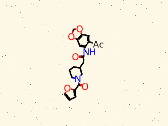 CC(=O)c1cc2c(cc1NC(=O)CC1CCCN(C(=O)c3ccco3)C1)OCO2